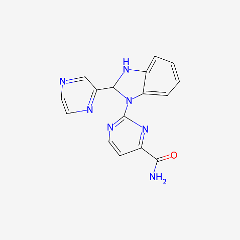 NC(=O)c1ccnc(N2c3ccccc3NC2c2cnccn2)n1